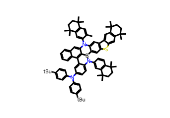 Cc1cc2c(cc1N1c3cc4c(cc3B3c5c1cc1ccccc1c5-c1cc(N(c5ccc(C(C)(C)C)cc5)c5ccc(C(C)(C)C)cc5)ccc1N3c1ccc3c(c1)C(C)(C)CCC3(C)C)sc1cc3c(cc14)C(C)(C)CCC3(C)C)C(C)(C)CCC2(C)C